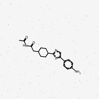 CC(=O)NC(=O)CC1CCC(c2ncc(-c3ccc(N)cc3)s2)CC1